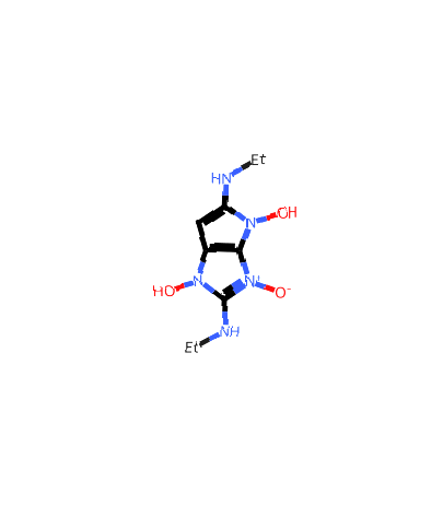 CCNc1cc2c(n1O)[n+]([O-])c(NCC)n2O